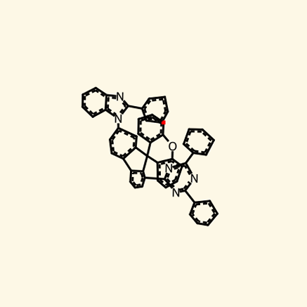 c1ccc(-c2nc(-c3ccccc3)nc(-c3cccc4c3C3(c5ccccc5Oc5ccccc53)c3cc(-n5c(-c6ccccc6)nc6ccccc65)ccc3-4)n2)cc1